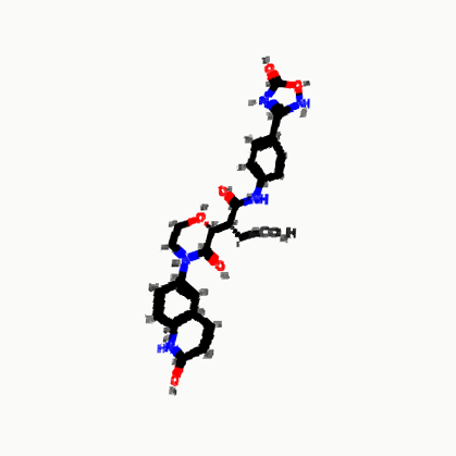 O=C(O)C[C@@H](C(=O)Nc1ccc(-c2nc(=O)o[nH]2)cc1)[C@H]1OCCN(c2ccc3[nH]c(=O)ccc3c2)C1=O